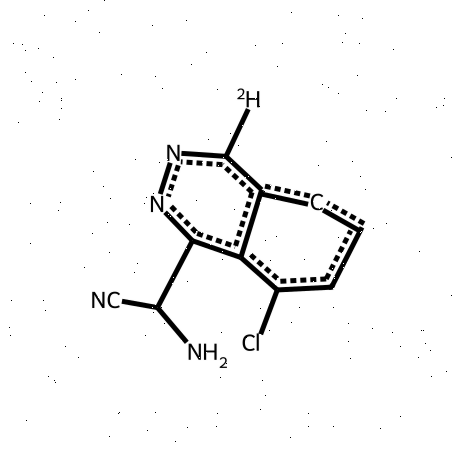 [2H]c1nnc(C(N)C#N)c2c(Cl)cccc12